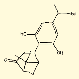 CCC(C)C(C)c1cc(O)c(C2CC(=O)C3CC2C3(C)C)c(O)c1